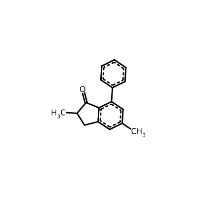 Cc1cc2c(c(-c3ccccc3)c1)C(=O)C(C)C2